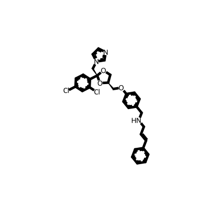 Clc1ccc([C@]2(Cn3ccnc3)OC[C@@H](COc3ccc(CNC/C=C/c4ccccc4)cc3)O2)c(Cl)c1